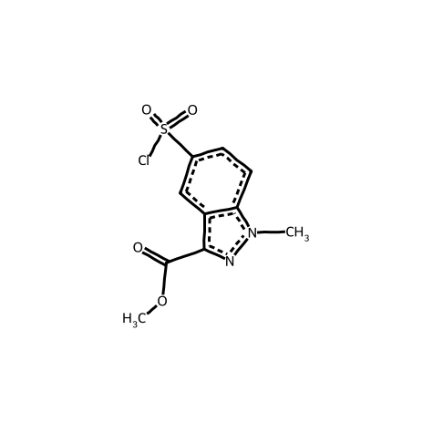 COC(=O)c1nn(C)c2ccc(S(=O)(=O)Cl)cc12